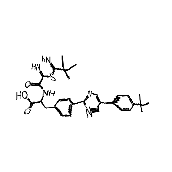 CC(C)(C)C(=N)SC(=N)C(=O)NC(Cc1ccc(-c2ncc(-c3ccc(C(C)(C)C)cc3)cn2)cc1)C(=O)O